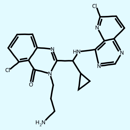 NCCCn1c(C(Nc2ncnc3ccc(Cl)nc23)C2CC2)nc2cccc(Cl)c2c1=O